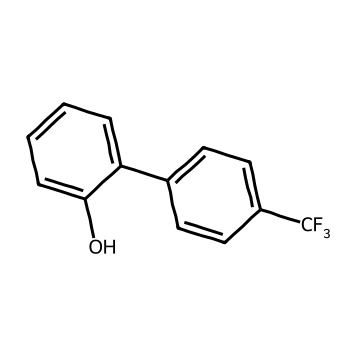 Oc1ccccc1-c1ccc(C(F)(F)F)cc1